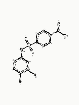 O=C(O)c1ccc(S(=O)(=O)Nc2ccc(Br)c(Br)c2)cc1